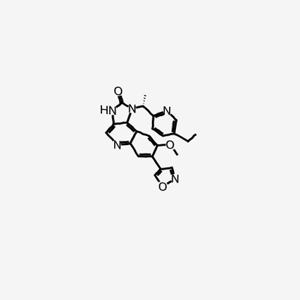 CCc1ccc([C@@H](C)n2c(=O)[nH]c3cnc4cc(-c5cnoc5)c(OC)cc4c32)nc1